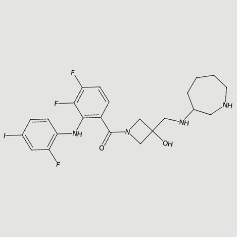 O=C(c1ccc(F)c(F)c1Nc1ccc(I)cc1F)N1CC(O)(CNC2CCCCNC2)C1